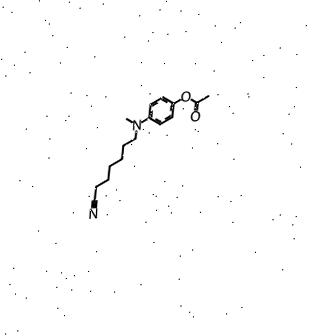 CC(=O)Oc1ccc(N(C)CCCCCCC#N)cc1